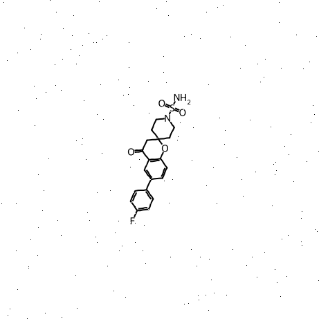 NS(=O)(=O)N1CCC2(CC1)CC(=O)c1cc(-c3ccc(F)cc3)ccc1O2